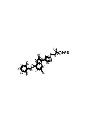 COC(=O)CCn1cc(-c2c(C)nc3c(OCc4c(F)cccc4F)cc(C)cn23)cn1